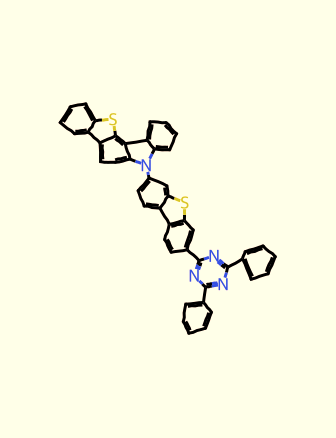 c1ccc(-c2nc(-c3ccccc3)nc(-c3ccc4c(c3)sc3cc(-n5c6ccccc6c6c7sc8ccccc8c7ccc65)ccc34)n2)cc1